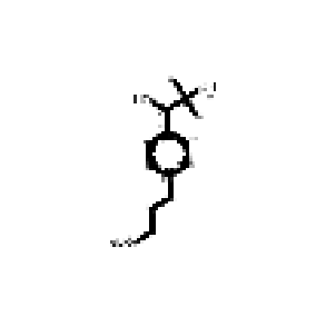 CCCCCCCCCCCCc1ccc(C(O)C(C)(C)O)cc1